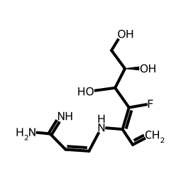 C=C/C(N/C=C\C(=N)N)=C(\F)C(O)[C@H](O)CO